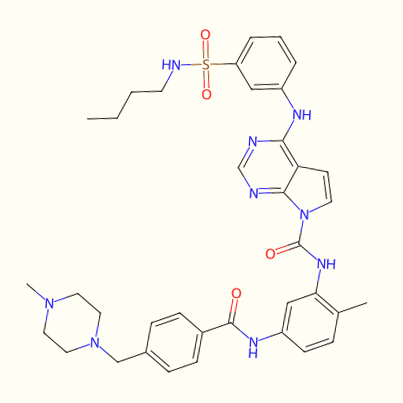 CCCCNS(=O)(=O)c1cccc(Nc2ncnc3c2ccn3C(=O)Nc2cc(NC(=O)c3ccc(CN4CCN(C)CC4)cc3)ccc2C)c1